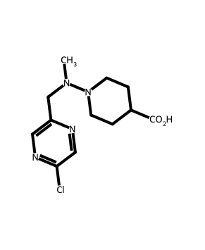 CN(Cc1cnc(Cl)cn1)N1CCC(C(=O)O)CC1